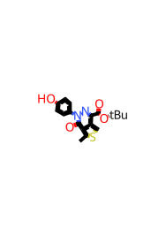 Cc1scc2c(C(=O)OC(C)(C)C)nn(-c3ccc(O)cc3)c(=O)c12